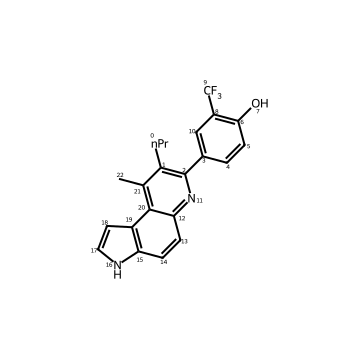 CCCc1c(-c2ccc(O)c(C(F)(F)F)c2)nc2ccc3[nH]ccc3c2c1C